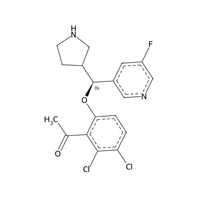 CC(=O)c1c(O[C@H](c2cncc(F)c2)C2CCNC2)ccc(Cl)c1Cl